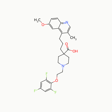 COc1ccc2ncc(C)c(CCCC3(C(=O)O)CCN(CCOc4c(F)cc(F)cc4F)CC3)c2c1